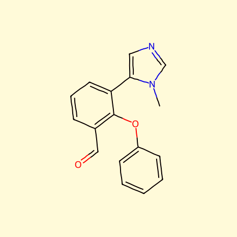 Cn1cncc1-c1cccc(C=O)c1Oc1ccccc1